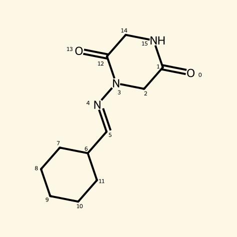 O=C1CN(N=CC2CCCCC2)C(=O)CN1